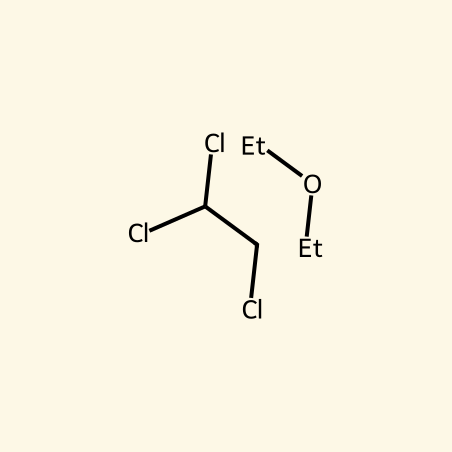 CCOCC.ClCC(Cl)Cl